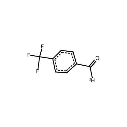 [2H]C(=O)c1ccc(C(F)(F)F)cc1